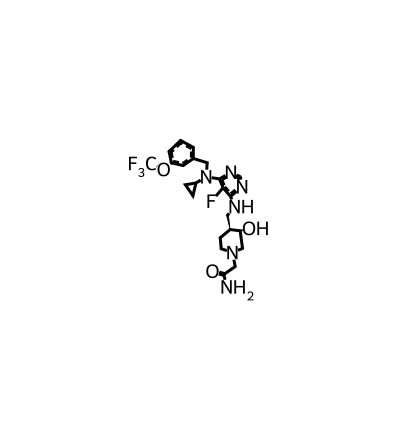 NC(=O)CN1CC[C@@H](CNc2ncnc(N(Cc3cccc(OC(F)(F)F)c3)C3CC3)c2F)[C@H](O)C1